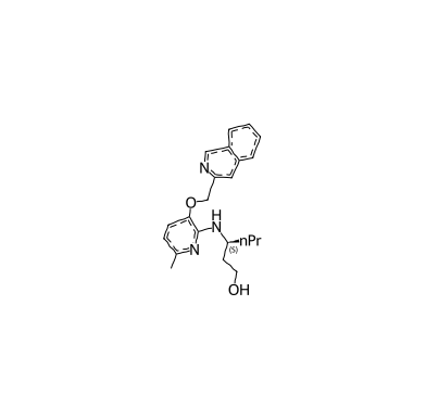 CCC[C@@H](CCO)Nc1nc(C)ccc1OCc1cc2ccccc2cn1